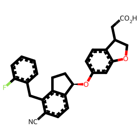 N#Cc1ccc2c(c1Cc1ccccc1F)CC[C@H]2Oc1ccc2c(c1)OCC2CC(=O)O